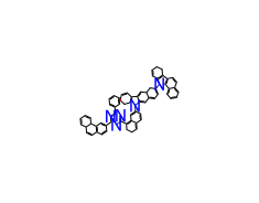 C1=CC2C=Cc3ccc(-c4nc(C5=c6cc(-n7c8c(c9c7=CC7=CC=C(n%10c%11c(c%12ccc%13ccccc%13c%12%10)CCC=C%11)CC7C=9)C=CCC8)ccc6=CCC5)nc(-c5ccccc5)n4)cc3C2C=C1